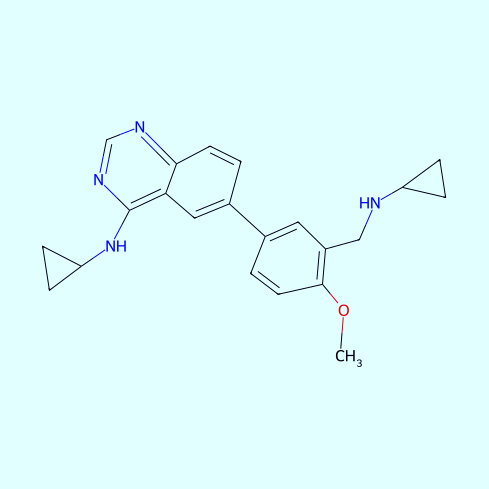 COc1ccc(-c2ccc3ncnc(NC4CC4)c3c2)cc1CNC1CC1